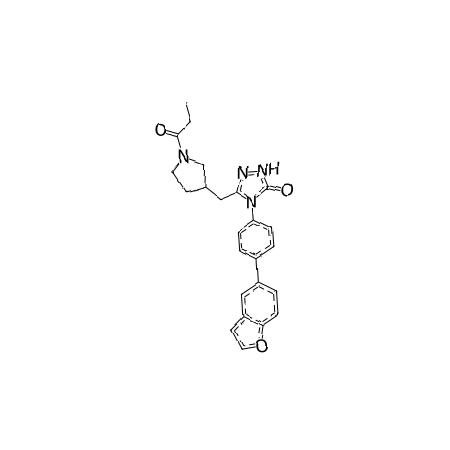 CCC(=O)N1CCC(Cc2n[nH]c(=O)n2-c2ccc(-c3ccc4occc4c3)cc2)C1